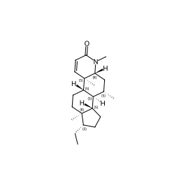 CC[C@H]1CC[C@H]2[C@@H]3[C@@H](C)C[C@H]4N(C)C(=O)C=C[C@]4(C)[C@H]3CC[C@]12C